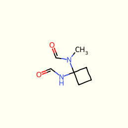 CN(C=O)C1(NC=O)CCC1